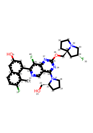 CCc1c(F)ccc2cc(O)cc(-c3ncc4c(N5CCC[C@@H]5CO)nc(OC[C@@]56CCCN5C[C@H](F)C6)nc4c3F)c12